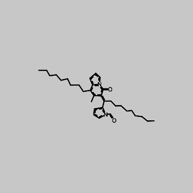 CCCCCCCCC/C(c1cccn1C=O)=c1/c(C)c(CCCCCCCCC)c2cccn2c1=O